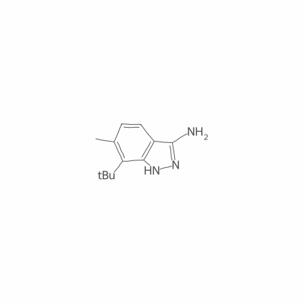 Cc1ccc2c(N)n[nH]c2c1C(C)(C)C